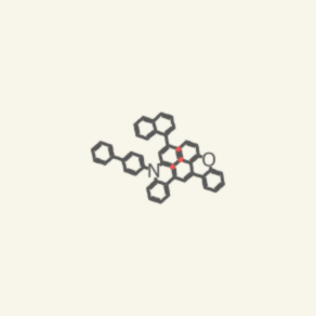 c1ccc(-c2ccc(N(c3cccc(-c4cccc5ccccc45)c3)c3ccccc3-c3cc4c5c(cccc5c3)Oc3ccccc3-4)cc2)cc1